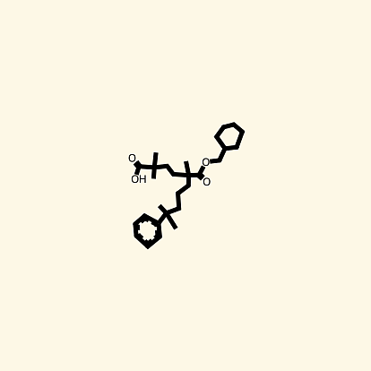 CC(C)(CCC(C)(CCCC(C)(C)c1ccccc1)C(=O)OCC1CCCCC1)C(=O)O